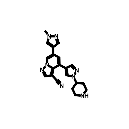 Cn1cc(-c2cc(-c3cnn(C4CCNCC4)c3)c3c(C#N)cnn3c2)cn1